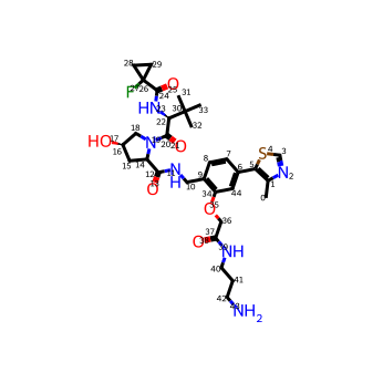 Cc1ncsc1-c1ccc(CNC(=O)C2C[C@@H](O)CN2C(=O)[C@@H](NC(=O)C2(F)CC2)C(C)(C)C)c(OCC(=O)NCCCN)c1